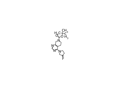 CC(C)(C)OC(=O)N1CCc2c(ncnc2N2CC[C@@H](F)C2)C1